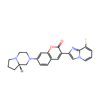 O=c1oc2cc(N3CCN4CCC[C@H]4C3)ccc2cc1-c1cn2cccc(F)c2n1